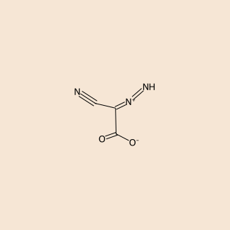 N#CC(=[N+]=N)C(=O)[O-]